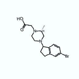 C[C@@H]1CN(C2CCc3cc(Br)ccc32)CCN1CC(=O)O